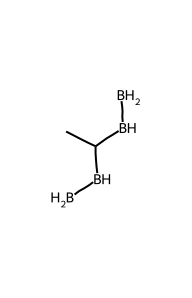 BBC(C)BB